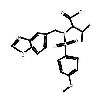 COc1ccc(S(=O)(=O)N(Cc2ccc3[nH]cnc3c2)C(C(=O)O)C(C)C)cc1